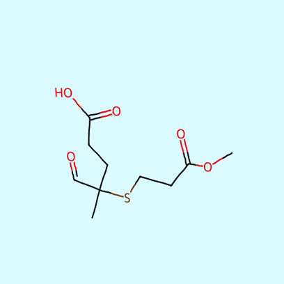 COC(=O)CCSC(C)(C=O)CCC(=O)O